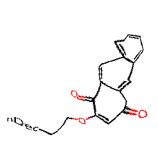 CCCCCCCCCCCCOC1=CC(=O)c2cc3ccccc3cc2C1=O